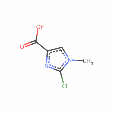 Cn1cc(C(=O)O)nc1Cl